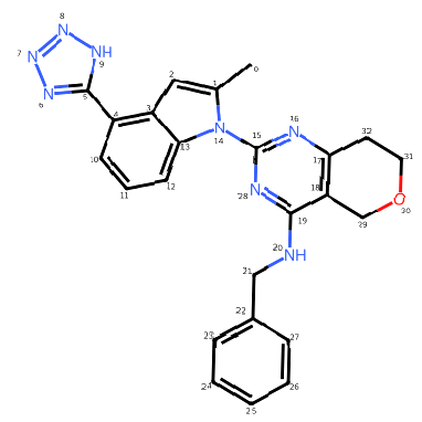 Cc1cc2c(-c3nnn[nH]3)cccc2n1-c1nc2c(c(NCc3ccccc3)n1)COCC2